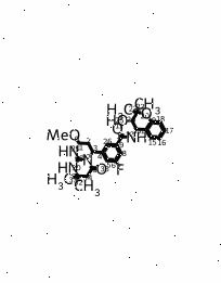 COCCC(c1cc(F)cc(C(=O)N[C@@H]2c3ccccc3OC(C)(C)[C@H]2O)c1)N1C(=N)NC(C)(C)CC1=O